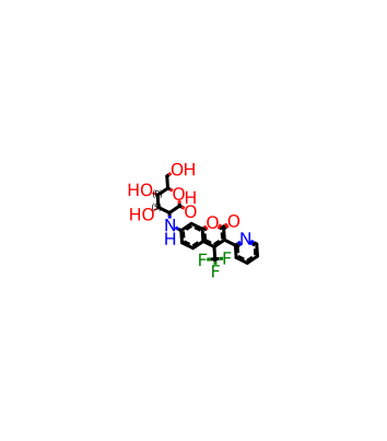 O=c1oc2cc(NC3C(O)OC(CO)[C@H](O)[C@H]3O)ccc2c(C(F)(F)F)c1-c1ccccn1